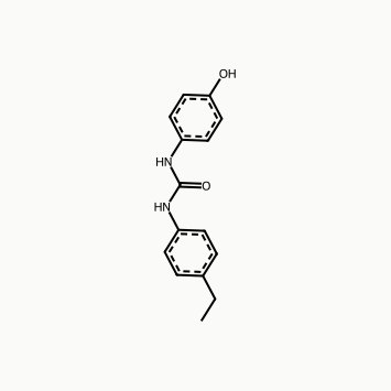 CCc1ccc(NC(=O)Nc2ccc(O)cc2)cc1